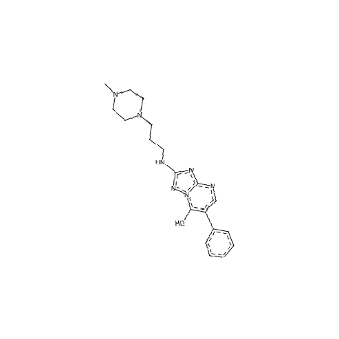 CN1CCN(CCCNc2nc3ncc(-c4ccccc4)c(O)n3n2)CC1